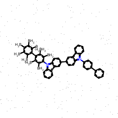 Bc1c(B)c(B)c(-c2c(B)c(B)c(-n3c4ccccc4c4cc(-c5ccc6c(c5)c5ccccc5n6-c5ccc(-c6ccccc6)cc5)ccc43)c(B)c2B)c(B)c1B